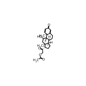 CC(=O)OCC(=O)[C@H]1CC[C@H]2[C@@H]3CCC4=CC(=O)C=C[C@]4(C)C3(F)[C@@H](O)C[C@]12C